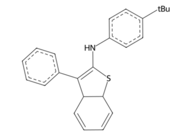 CC(C)(C)c1ccc(NC2=C(c3ccccc3)C3C=CC=CC3S2)cc1